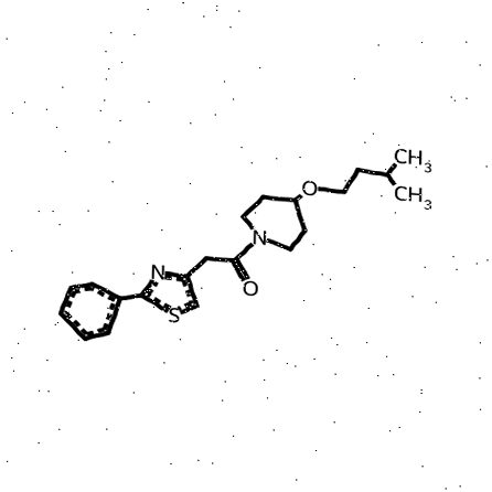 CC(C)CCOC1CCN(C(=O)Cc2csc(-c3ccccc3)n2)CC1